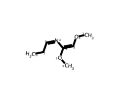 CC/C=N\C(=C/OC)OC